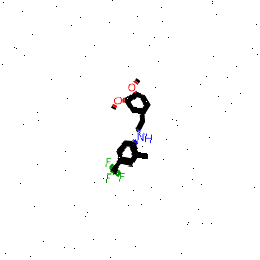 COc1ccc(CCNc2ccc(C(F)(F)F)cc2C)cc1OC